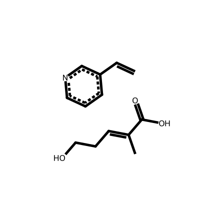 C/C(=C\CCO)C(=O)O.C=Cc1cccnc1